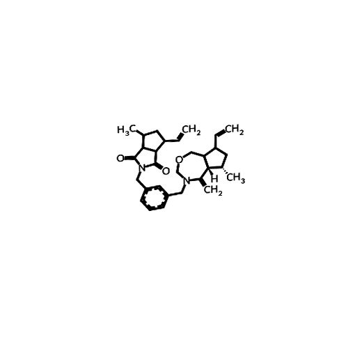 C=CC1CC(C)C2C(=O)N(Cc3cccc(CN4COCC5C(C=C)C[C@H](C)[C@@H]5C4=C)c3)C(=O)C12